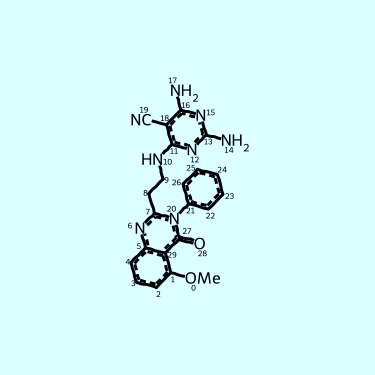 COc1cccc2nc(CCNc3nc(N)nc(N)c3C#N)n(-c3ccccc3)c(=O)c12